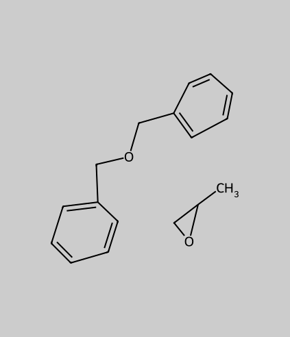 CC1CO1.c1ccc(COCc2ccccc2)cc1